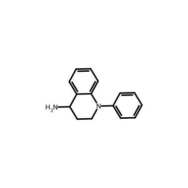 NC1CCN(c2ccccc2)c2ccccc21